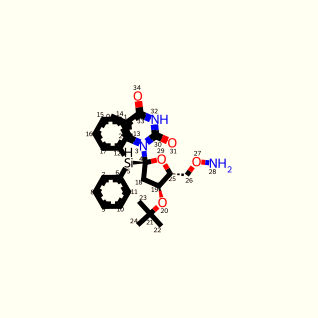 Cc1cn([C@@]2([SiH](c3ccccc3)c3ccccc3)C[C@H](OC(C)(C)C)[C@@H](CON)O2)c(=O)[nH]c1=O